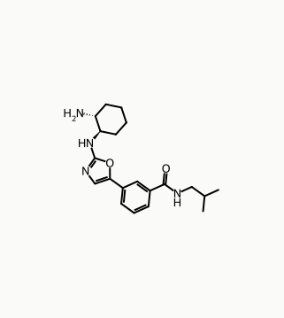 CC(C)CNC(=O)c1cccc(-c2cnc(N[C@@H]3CCCC[C@H]3N)o2)c1